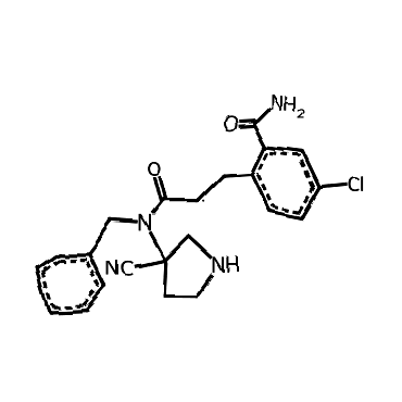 N#CC1(N(Cc2ccccc2)C(=O)[CH]Cc2ccc(Cl)cc2C(N)=O)CCNC1